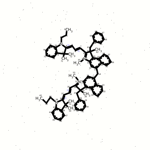 CCCN1/C(=C/C=C/C2=[N+](C)c3cc(Cc4cc5c(c6ccccc46)C(C)(Cc4ccccc4)C(/C=C/C=C4/N(CCC)c6ccccc6C4(C)C)=[N+]5C)c4ccccc4c3C2(C)Cc2ccccc2)C(C)(C)c2ccccc21